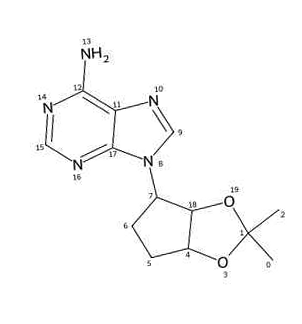 CC1(C)OC2CCC(n3cnc4c(N)ncnc43)C2O1